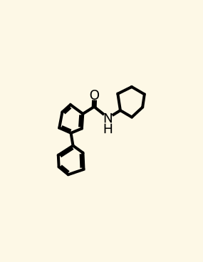 O=C(NC1CCCCC1)c1cccc(-c2ccccc2)c1